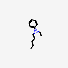 [CH2]CCCCN(CC)c1ccccc1